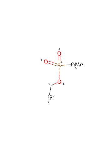 COS(=O)(=O)OCC(C)C